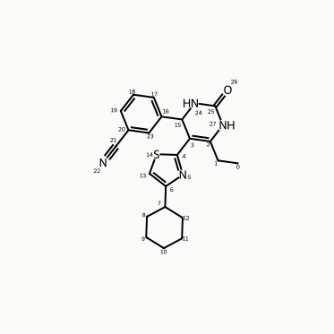 CCC1=C(c2nc(C3CCCCC3)cs2)C(c2cccc(C#N)c2)NC(=O)N1